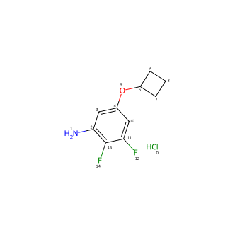 Cl.Nc1cc(OC2CCC2)cc(F)c1F